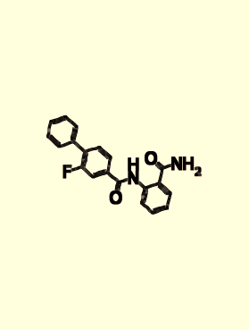 NC(=O)c1ccccc1NC(=O)c1ccc(-c2ccccc2)c(F)c1